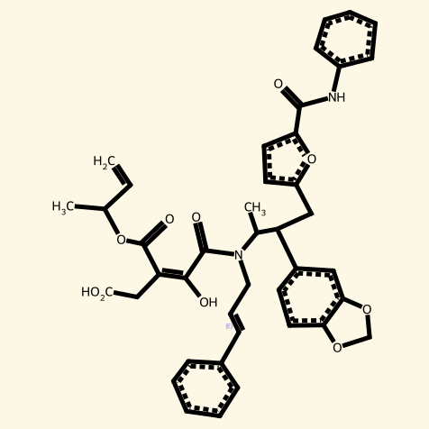 C=CC(C)OC(=O)C(CC(=O)O)=C(O)C(=O)N(C/C=C/c1ccccc1)C(C)C(Cc1ccc(C(=O)Nc2ccccc2)o1)c1ccc2c(c1)OCO2